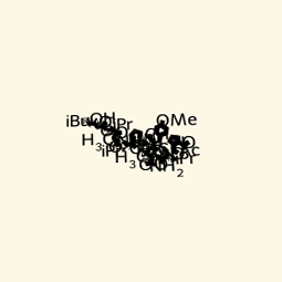 CC[C@H](C)C[C@@H](O)CC(=O)OC(C(=O)[C@H](C)C(=O)N[C@@H](CC(C)C)C(=O)N1CCC[C@H]1C(=O)N(C)[C@@H](Cc1ccc(OC)cc1)C(=O)O[C@H](C)[C@H](NC(=O)[C@@H](CC(C)C)N(C)C(=O)C1CCCN1C(=O)C(C)=O)C(N)=O)C(C)C